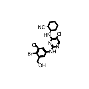 N#C[C@@H]1CCCC[C@H]1Nc1nc(Nc2cc(Cl)c(Br)c(CO)c2)ncc1Cl